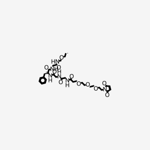 [CH2]COCNC(=O)CNC(=O)[C@H](Cc1ccccc1)NC(=O)CNC(=O)CNC(=O)CCOCCOCCOCCN1C(=O)C=CC1=O